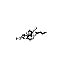 CCCC[S+]([O-])[C@H]1CO[C@H]2[C@@H]1OC[C@H]2ON(O)O